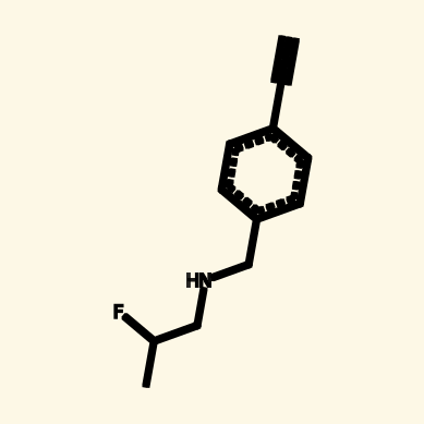 C#Cc1ccc(CNCC(C)F)cc1